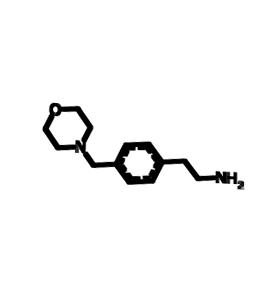 NCCc1ccc(CN2CCOCC2)cc1